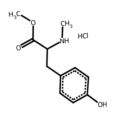 CNC(Cc1ccc(O)cc1)C(=O)OC.Cl